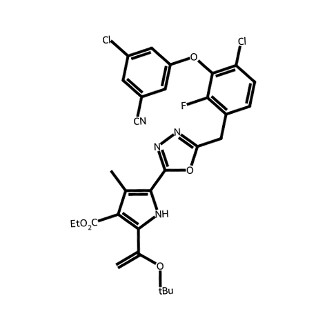 C=C(OC(C)(C)C)c1[nH]c(-c2nnc(Cc3ccc(Cl)c(Oc4cc(Cl)cc(C#N)c4)c3F)o2)c(C)c1C(=O)OCC